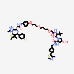 Cc1ncsc1-c1ccc(CNC(=O)[C@@H]2C[C@@H](O)CN2C(=O)[C@@H](NC(=O)COCCCCOCCCOc2ccc(NC(=O)C[C@@H]3N=C(c4ccc(Cl)cc4)c4c(sc(C)c4C)-n4c(C)nnc43)cc2)C(C)(C)C)cc1